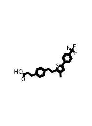 Cc1cc(-c2ccc(C(F)(F)F)cc2)sc1CCc1ccc(CCC(=O)O)cc1